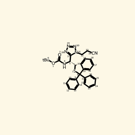 CC(C)(C)OC(=O)N[C@@H](CSC(c1ccccc1)(c1ccccc1)c1ccccc1)c1nnnn1CCC#N